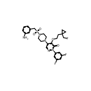 Nc1cccc(CS(=O)(=O)N2CCN(c3cnn(-c4cc(F)cc(F)c4)c(=O)c3OCCC3(CF)CC3)CC2)c1